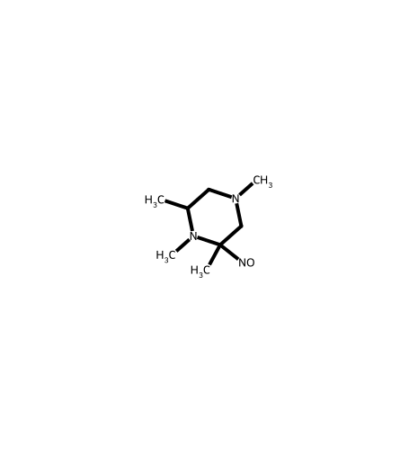 CC1CN(C)CC(C)(N=O)N1C